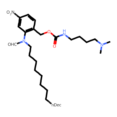 CCCCCCCCCCCCCCCCCCN(C=O)c1cc([N+](=O)[O-])ccc1COC(=O)NCCCCN(C)C